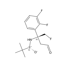 CC(C)(C)[S@@+]([O-])N[C@@](CF)(CC=O)c1cccc(F)c1F